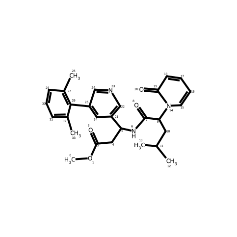 COC(=O)CC(NC(=O)C(CC(C)C)n1ccccc1=O)c1cncc(-c2c(C)cccc2C)c1